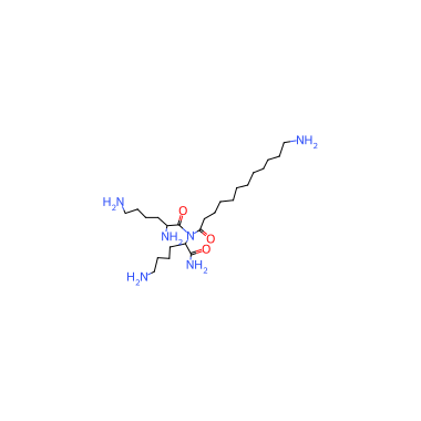 NCCCCCCCCCCCC(=O)N(C(=O)C(N)CCCCN)C(CCCCN)C(N)=O